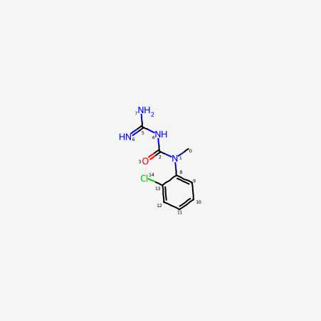 CN(C(=O)NC(=N)N)c1ccccc1Cl